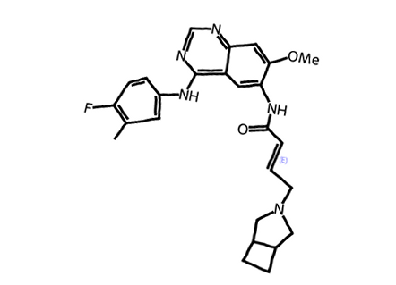 COc1cc2ncnc(Nc3ccc(F)c(C)c3)c2cc1NC(=O)/C=C/CN1CC2CCC2C1